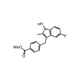 CCCn1c(C)c(Cc2ccc(C(=O)OC)cc2)c2cc(F)ccc21